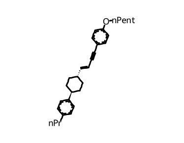 CCCCCOc1ccc(C#CC=C[C@H]2CC[C@H](c3ccc(CCC)cc3)CC2)cc1